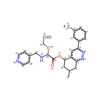 CC1Cc2nnc(-c3cccc(C(F)(F)F)c3)cc2C(OC(=O)C(NCc2ccncc2)OCC=O)C1